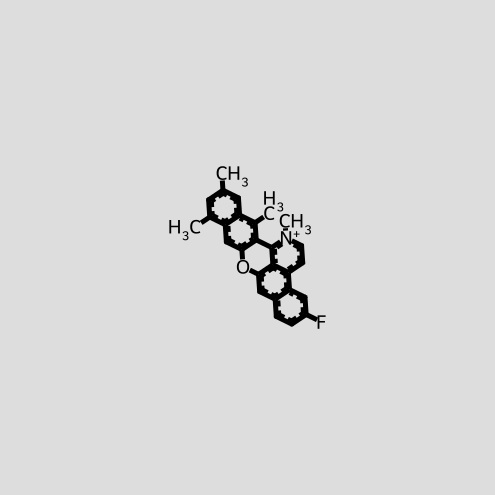 Cc1cc(C)c2cc3c(c(C)c2c1)-c1c2c(cc4ccc(F)cc4c2cc[n+]1C)O3